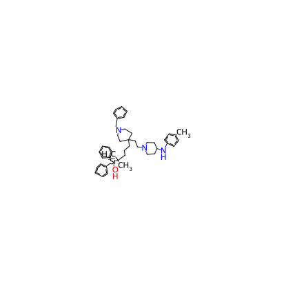 Cc1ccc(NC2CCN(CCC3(CCCC(C)(C)[Si](O)(c4ccccc4)c4ccccc4)CCN(Cc4ccccc4)CC3)CC2)cc1